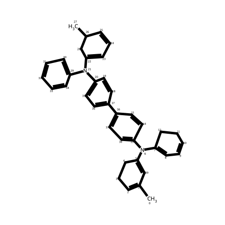 CC1=CCCC(N(C2=CC=CCC2)c2ccc(-c3ccc(N(C4=CC=CC(C)C4)c4ccccc4)cc3)cc2)=C1